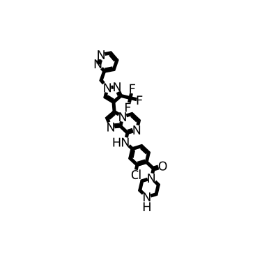 O=C(c1ccc(Nc2nccn3c(-c4cn(Cc5cccnn5)nc4C(F)(F)F)cnc23)cc1Cl)N1CCNCC1